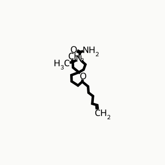 C=CCCCCC1CCCC2(CCN(C(N)=O)C(C)(C)C2)O1